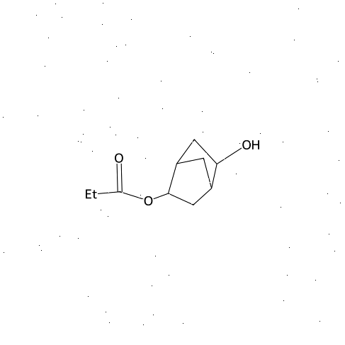 CCC(=O)OC1CC2CC1CC2O